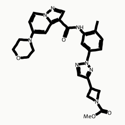 COC(=O)N1CC(c2cnn(-c3ccc(C)c(NC(=O)c4cnn5ccc(N6CCOCC6)cc45)c3)n2)C1